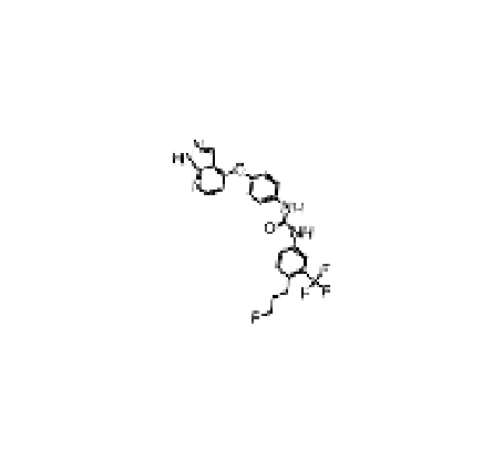 O=C(Nc1ccc(Oc2ccnc3[nH]ncc23)cc1)Nc1ccc(CCCF)c(C(F)(F)F)c1